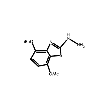 COc1ccc(OCC(C)C)c2nc(NN)sc12